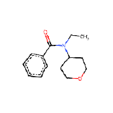 CCN(C(=O)c1ccccc1)C1CCOCC1